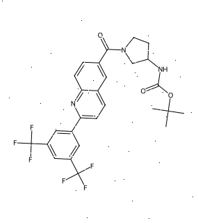 CC(C)(C)OC(=O)NC1CCN(C(=O)c2ccc3nc(-c4cc(C(F)(F)F)cc(C(F)(F)F)c4)ccc3c2)C1